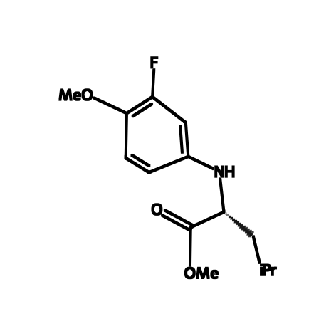 COC(=O)[C@@H](CC(C)C)Nc1ccc(OC)c(F)c1